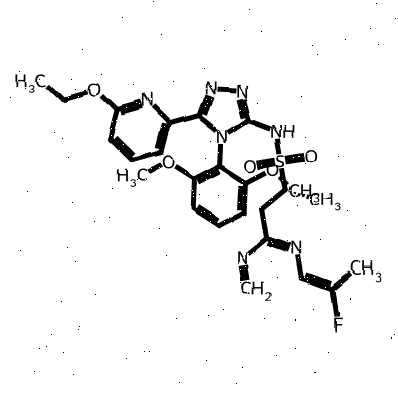 C=N/C(C[C@@H](C)S(=O)(=O)Nc1nnc(-c2cccc(OCC)n2)n1-c1c(OC)cccc1OC)=N\C=C(/C)F